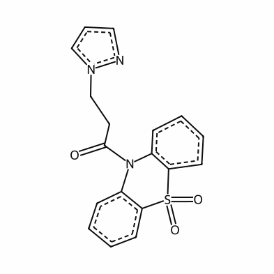 O=C(CCn1cccn1)N1c2ccccc2S(=O)(=O)c2ccccc21